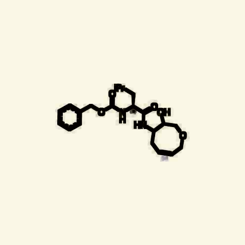 CC(C)C[C@H](NC(=O)OCc1ccccc1)C(=O)NC1C/C=C\COCC1O